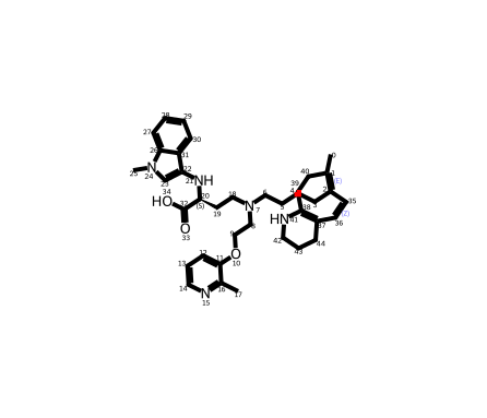 C/C1=C(CCCCN(CCOc2cccnc2C)CC[C@H](Nc2cn(C)c3ccccc23)C(=O)O)\C=C/C2=C(CC1)NCCC2